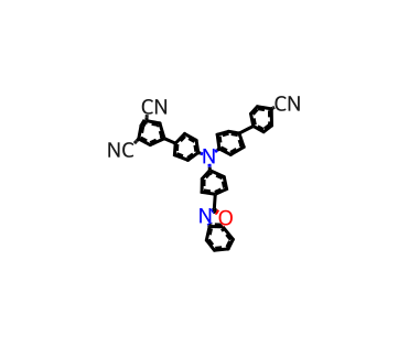 N#Cc1ccc(-c2ccc(N(c3ccc(-c4cc(C#N)cc(C#N)c4)cc3)c3ccc(-c4nc5ccccc5o4)cc3)cc2)cc1